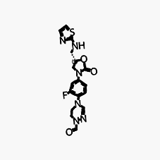 O=CN1CCN(c2ccc(N3C[C@H](CNc4nccs4)OC3=O)cc2F)C=N1